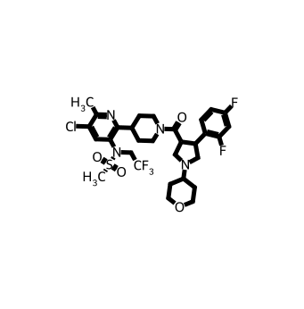 Cc1nc(C2CCN(C(=O)C3CN(C4CCOCC4)CC3c3ccc(F)cc3F)CC2)c(N(CC(F)(F)F)S(C)(=O)=O)cc1Cl